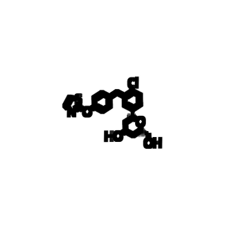 OC[C@@H]1CC(O)C[C@H](c2ccc(Cl)c(Cc3ccc(Oc4nccs4)cc3)c2)O1